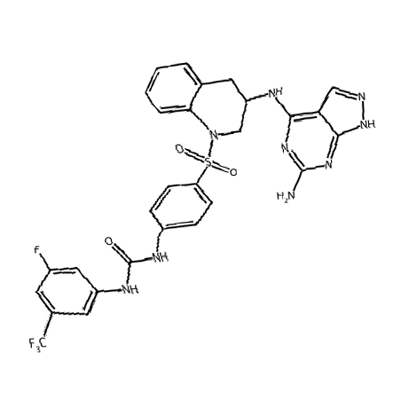 Nc1nc(NC2Cc3ccccc3N(S(=O)(=O)c3ccc(NC(=O)Nc4cc(F)cc(C(F)(F)F)c4)cc3)C2)c2cn[nH]c2n1